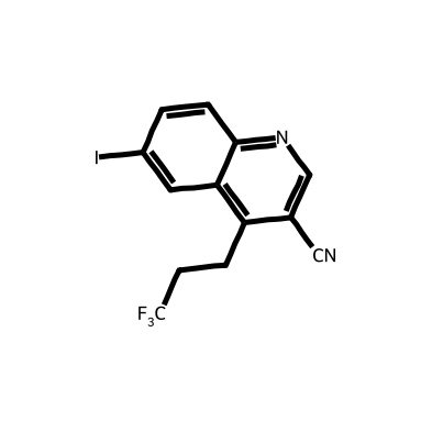 N#Cc1cnc2ccc(I)cc2c1CCC(F)(F)F